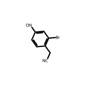 N#CCc1ccc(N=O)cc1Br